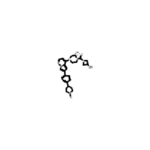 CCN1CCC(c2ccc(-c3cc4c(N5CCN(C(=O)N6CC(C#N)C6)[C@H](C)C5)ccnn4c3)cc2)CC1